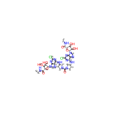 CCNC(=O)[C@H]1O[C@@H](n2cnc3c(N[C@@H]4CCN(C(=O)N5CC[C@@H](Nc6nc(Cl)nc7c6ncn7[C@@H]6O[C@H](C(=O)NCC)[C@@H](O)[C@H]6O)C5)C4)nc(Cl)nc32)[C@H](O)[C@@H]1O